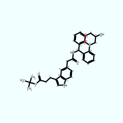 CC(C)(C)OC(=O)CCc1c[nH]c2ccc(CC(=O)NC(c3ccccc3)c3ccccc3N3CCCC(O)C3)cc12